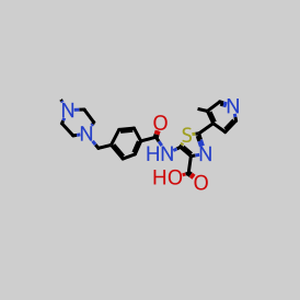 Cc1cnccc1-c1nc(C(=O)O)c(NC(=O)c2ccc(CN3CCN(C)CC3)cc2)s1